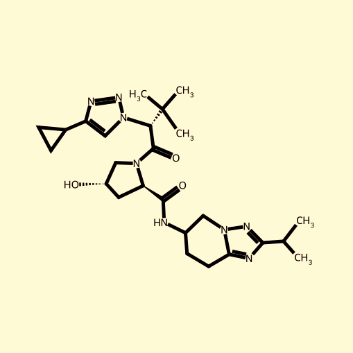 CC(C)c1nc2n(n1)CC(NC(=O)[C@H]1C[C@H](O)CN1C(=O)[C@H](n1cc(C3CC3)nn1)C(C)(C)C)CC2